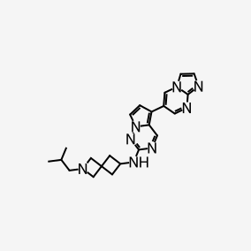 CC(C)CN1CC2(CC(Nc3ncc4c(-c5cnc6nccn6c5)ccn4n3)C2)C1